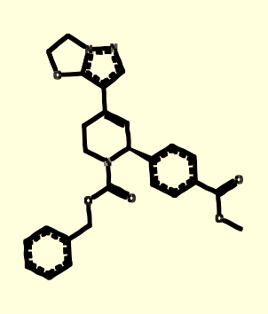 COC(=O)c1ccc([C@@H]2C=C(c3cnn4c3OCC4)CCN2C(=O)OCc2ccccc2)cc1